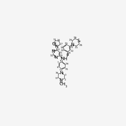 CN1CCN(c2ccc(Nc3cc(N4OCC[C@@H]4c4cc(F)cc(N5CCSCC5)c4)ncn3)cc2)CC1